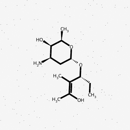 CC[C@@H](O[C@@H]1C[C@@H](N)[C@@H](O)[C@@H](C)O1)/C(C)=C(/C)O